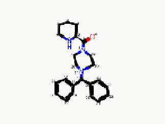 O=C([C@@H]1CCCCN1)N1CCN(C(c2ccccc2)c2ccccc2)CC1